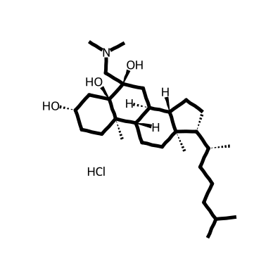 CC(C)CCC[C@@H](C)[C@H]1CC[C@H]2[C@@H]3C[C@@](O)(CN(C)C)[C@@]4(O)C[C@@H](O)CC[C@]4(C)[C@H]3CC[C@]12C.Cl